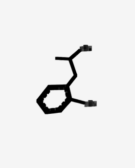 CCCCc1ccccc1CC(C)CCCC